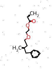 C=CC(=O)OCCOCCC(=C)Cc1ccccc1